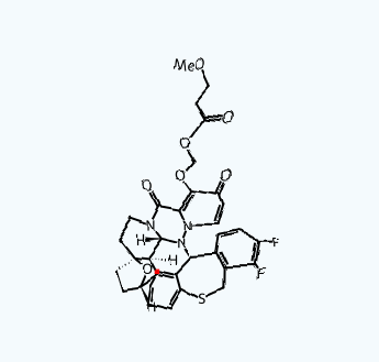 COCCC(=O)OCOc1c2n(ccc1=O)N([C@@H]1c3ccccc3SCc3c1ccc(F)c3F)[C@@H]1[C@H]3C[C@@H]4CC[C@@]3(CCN1C2=O)O4